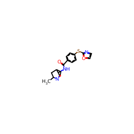 CC1CC2CCN1CC2NC(=O)c1ccc(Sc2ncco2)cc1